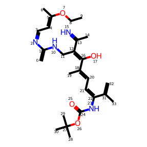 C=C(/N=C\C=C(/C)OCC)NC\C(C(C)=N)=C(O)/C(C)=C/C=C(/NC(=O)OC(C)(C)C)C(=C)C